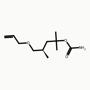 C=CCOC[C@H](C)CC(C)(C)OC(N)=O